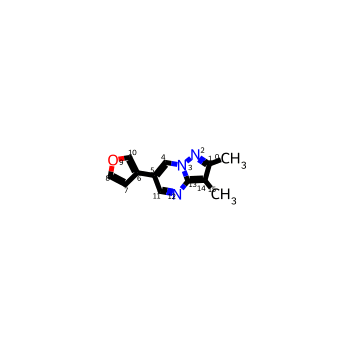 Cc1nn2cc(-c3ccoc3)cnc2c1C